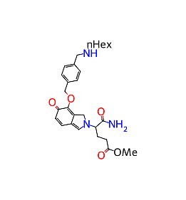 CCCCCCNCc1ccc(COC2=C3CN(C(CCC(=O)OC)C(N)=O)C=C3C=CC2=O)cc1